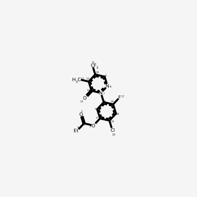 CCC(=O)Oc1cc(-n2ncc(C(F)(F)F)c(C)c2=O)c(F)cc1Cl